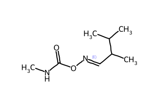 CNC(=O)O/N=C/C(C)C(C)C